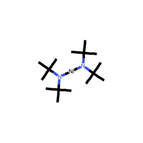 CC(C)(C)[N]([Ni][N](C(C)(C)C)C(C)(C)C)C(C)(C)C